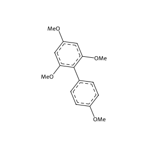 COc1ccc(-c2c(OC)cc(OC)cc2OC)cc1